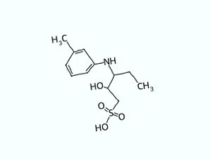 CCC(Nc1cccc(C)c1)C(O)CS(=O)(=O)O